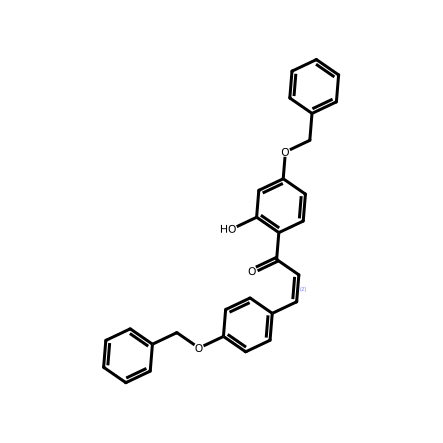 O=C(/C=C\c1ccc(OCc2ccccc2)cc1)c1ccc(OCc2ccccc2)cc1O